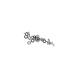 Cc1cc(C)c2cccc(OCc3c(Cl)ccc(S(=O)(=O)N4CCC[C@H]4C(=O)NCc4ccc(C(N)=S)cc4)c3Cl)c2n1